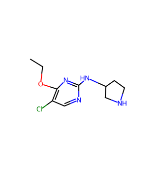 CCOc1nc(NC2CCNC2)ncc1Cl